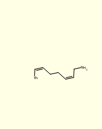 CC(C)/C=C\CC/C=C\CN